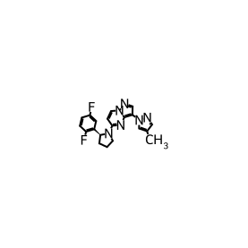 Cc1cnn(-c2cnn3ccc(N4CCC[C@H]4c4cc(F)ccc4F)nc23)c1